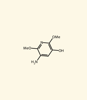 COc1nc(OC)c(O)cc1N